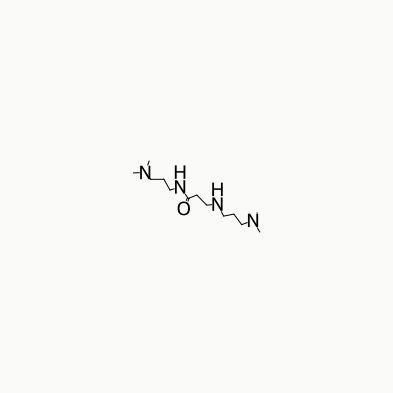 CN(C)CCCNCCC(=O)NCCCN(C)C